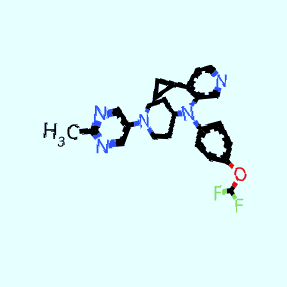 Cc1ncc(N2CCC(N(c3ccc(OC(F)F)cc3)c3cnccc3C3CC3)CC2)cn1